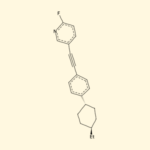 CC[C@H]1CC[C@H](c2ccc(C#Cc3ccc(F)nc3)cc2)CC1